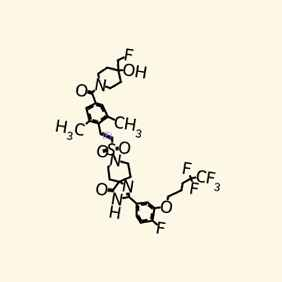 Cc1cc(C(=O)N2CCC(O)(CF)CC2)cc(C)c1/C=C/S(=O)(=O)N1CCC2(CC1)N=C(c1ccc(F)c(OCCCC(F)(F)C(F)(F)F)c1)NC2=O